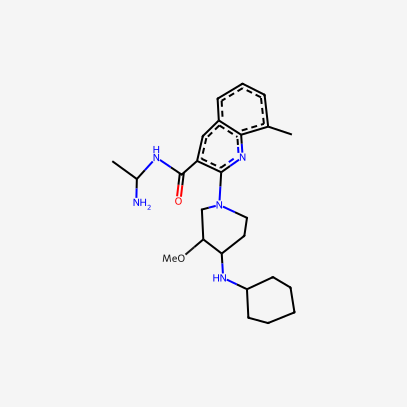 COC1CN(c2nc3c(C)cccc3cc2C(=O)NC(C)N)CCC1NC1CCCCC1